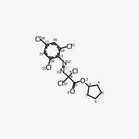 O=C(OC1CCCC1)C(Cl)(Cl)/N=N/c1c(Cl)cc(Cl)cc1Cl